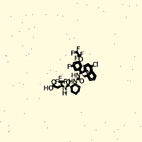 O=C(O)CC(NC(=O)[C@H]1CCCC[C@H]1NC(=O)N[C@@](Cc1ccccc1)(c1cc(F)cc(OC(F)(F)C(F)F)c1)c1ccc(Cl)cn1)C(F)(F)F